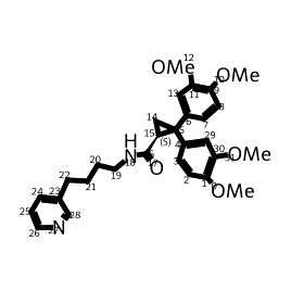 COc1ccc(C2(c3ccc(OC)c(OC)c3)C[C@@H]2C(=O)NCCCCc2cccnc2)cc1OC